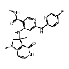 CNC(=O)c1cnc(Nc2ccc(F)cn2)cc1NC1(C)CN(C)c2cc[nH]c(=O)c21